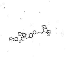 CCOC(=O)C(Cc1ccc(OCCC=C2c3sccc3-c3ccsc32)cc1)OCC